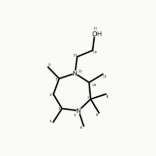 CC1CC(C)N(C)C(C)(C)C(C)N1CCO